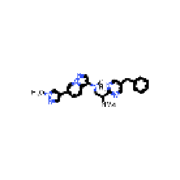 CNC(CN(C)c1cnn2cc(-c3cnn(C)c3)ccc12)c1ncc(Cc2ccccc2)cn1